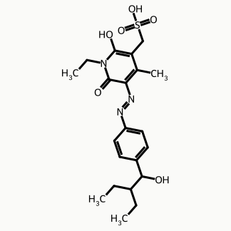 CCC(CC)C(O)c1ccc(/N=N/c2c(C)c(CS(=O)(=O)O)c(O)n(CC)c2=O)cc1